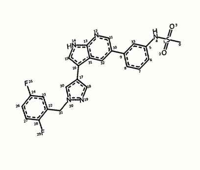 CS(=O)(=O)Nc1cccc(-c2cnc3[nH]cc(-c4cnn(Cc5cc(F)ccc5F)c4)c3c2)c1